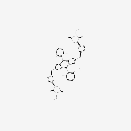 CCN1C(=O)/C(=c2\cc/c(=C/c3cc4c(-c5c(C)cccc5C)c5sc(/C=c6/cc/c(=C7/SC(=S)N(CC)C7=O)s6)cc5c(-c5c(C)cccc5C)c4s3)s2)SC1=S